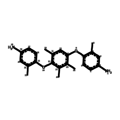 Cc1cc(N)ccc1Oc1cc(C)c(Oc2ccc(N)cc2C)c(C)c1C